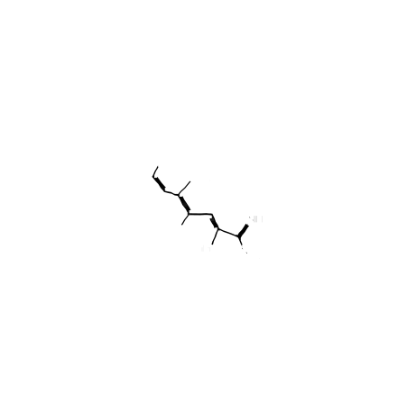 CC(/C=C\S)=C(C)\C=C(\C(=N)N)C(C)C